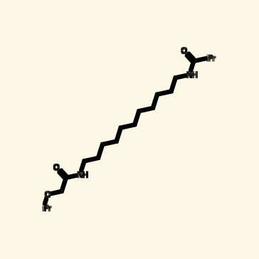 CC(C)OCC(=O)NCCCCCCCCCCCNC(=O)C(C)C